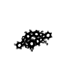 CC1=C2CCCCC2=C(C)[Si]1(c1ccccc1)c1ccc2c(c1)-c1cc([Si]3(c4ccccc4)C(C)=C4CCCCC4=C3C)ccc1C2